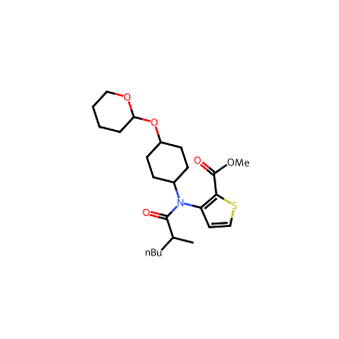 CCCCC(C)C(=O)N(c1ccsc1C(=O)OC)C1CCC(OC2CCCCO2)CC1